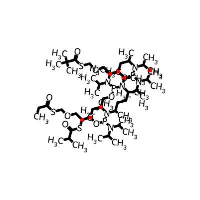 CCC(=O)SCOCCCOP(N(C(C)C)C(C)C)N(C(C)C)C(C)CCC(C)N(C(C)C)P(OCCCOCSC(=O)C(C)C)N(C(C)C)C(C)CCC(C)N(C(C)C)P(OCCCOCSC(=O)C(C)(C)C)N(C(C)C)C(C)C